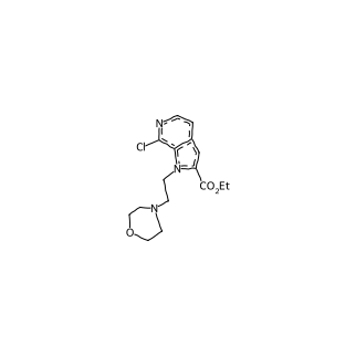 CCOC(=O)c1cc2ccnc(Cl)c2n1CCN1CCOCC1